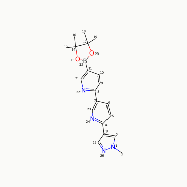 Cn1cc(-c2ccc(-c3ccc(B4OC(C)(C)C(C)(C)O4)cn3)cn2)cn1